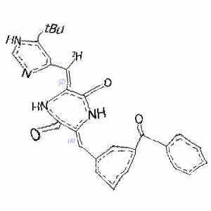 [2H]/C(c1nc[nH]c1C(C)(C)C)=c1/[nH]c(=O)/c(=C/c2cccc(C(=O)c3ccccc3)c2)[nH]c1=O